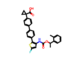 Cc1ccccc1C(C)OC(=O)Nc1cc(F)sc1-c1ccc(-c2ccc(C3(C(=O)O)CC3)cc2)cc1